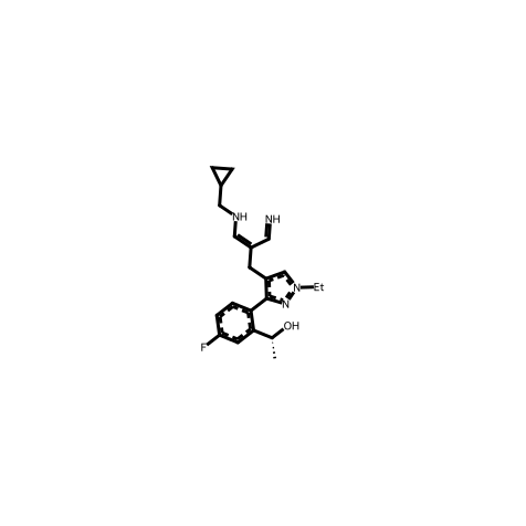 CCn1cc(C/C(C=N)=C/NCC2CC2)c(-c2ccc(F)cc2[C@@H](C)O)n1